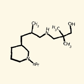 CCCN1CCCC(CC(C)CNCC(C)(C)CO)C1